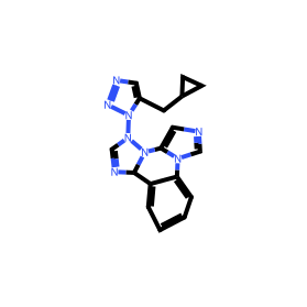 C1=NC2c3ccccc3-n3cncc3N2N1n1nncc1CC1CC1